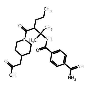 CCCC(C(=O)N1CCC(CC(=O)O)CC1)C(C)(C)NC(=O)c1ccc(C(=N)N)cc1